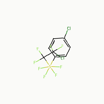 FC(F)(Cl)C(F)(F)S(F)(F)(F)(F)c1ccc(Cl)cc1